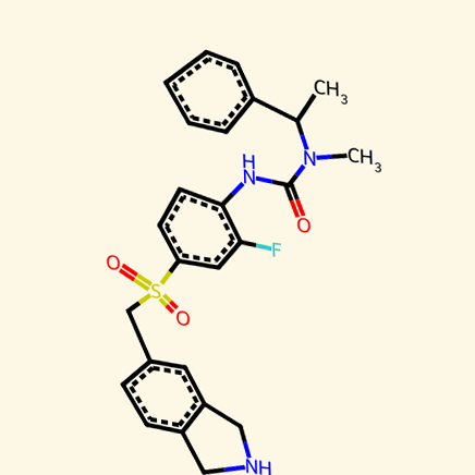 CC(c1ccccc1)N(C)C(=O)Nc1ccc(S(=O)(=O)Cc2ccc3c(c2)CNC3)cc1F